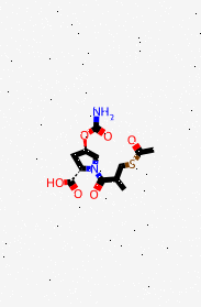 CC(=O)SCC(C)C(=O)N1C[C@H](OC(N)=O)C[C@H]1C(=O)O